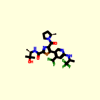 CC(Nc1cc(C(F)F)c(-c2sc(C(=O)N[C@@H](C)C(C)(C)O)nc2C(=O)N2CCC[C@@H]2C)cn1)C(F)(F)F